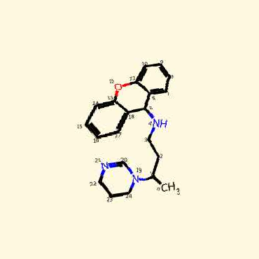 CC(CCNC1c2ccccc2Oc2ccccc21)N1C=NCCC1